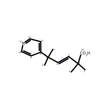 CC(C)(/C=C/C(C)(C)c1ccncc1)C(=O)O